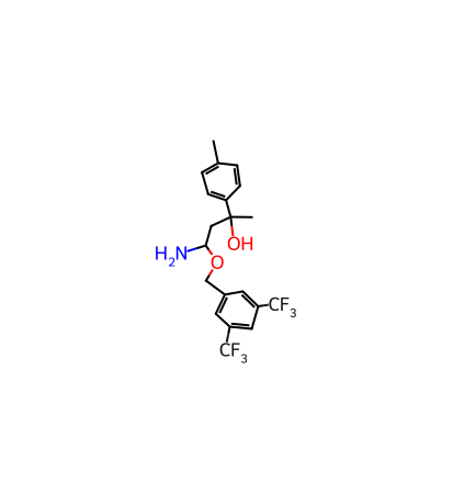 Cc1ccc(C(C)(O)CC(N)OCc2cc(C(F)(F)F)cc(C(F)(F)F)c2)cc1